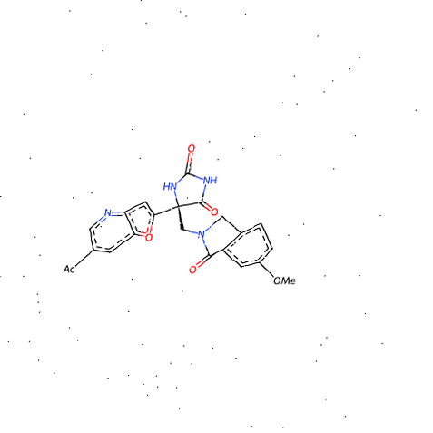 COc1ccc2c(c1)C(=O)N(C[C@@]1(c3cc4ncc(C(C)=O)cc4o3)NC(=O)NC1=O)C2